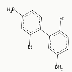 Bc1ccc(-c2cc(B)ccc2CC)c(CC)c1